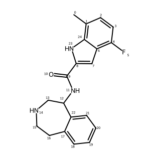 Cc1ccc(F)c2cc(C(=O)NC3CNCCc4ccccc43)[nH]c12